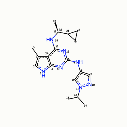 Cc1c[nH]c2nc(Nc3cnn(C(C)C)c3)nc(N[C@@H](C)C3CC3)c12